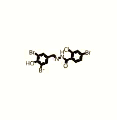 O=C(N/N=C/c1cc(Br)c(O)c(Br)c1)c1ccc(Br)cc1Cl